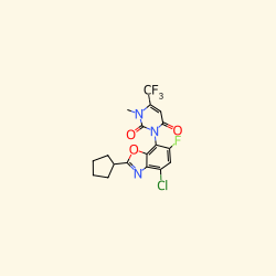 Cn1c(C(F)(F)F)cc(=O)n(-c2c(F)cc(Cl)c3nc(C4CCCC4)oc23)c1=O